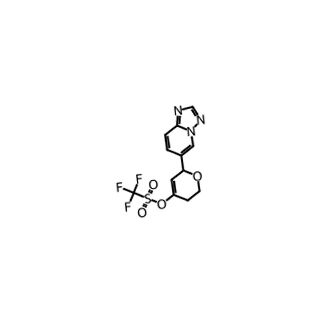 O=S(=O)(OC1=CC(c2ccc3ncnn3c2)OCC1)C(F)(F)F